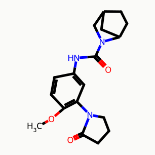 COc1ccc(NC(=O)N2CC3CCC2C3)cc1N1CCCC1=O